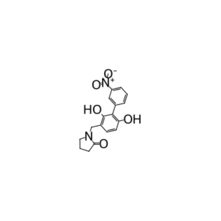 O=C1CCCN1Cc1ccc(O)c(-c2cccc([N+](=O)[O-])c2)c1O